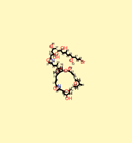 C=C1C[C@@H]2C[C@@H]3C[C@@H](O)C[C@@H](O3)c3coc(n3)/C=C/C[C@H]3O[C@@H](/C(C)=C/c4coc(C[C@]5(O)C[C@H](OC)C[C@H]([C@H](O)/C=C(C)/C=C/C(C/C=C/Br)OC)O5)n4)[C@H](C)[C@@H](OC(=O)/C=C\C[C@@H](C1)O2)[C@@H]3C